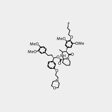 COc1ccc(CC[C@@H](OC(=O)[C@]23CCCCN2C(=O)[C@H](c2cc(OC)c(OCCCF)c(OC)c2)C(C)N3)c2cccc(OCCN3CCOCC3)c2)cc1OC